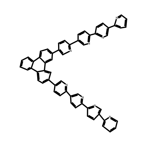 c1ccc(-c2ccc(-c3ccc(-c4ccc(-c5ccc6c7ccccc7c7ccc(-c8ccc(-c9ccc(-c%10ccc(-c%11ccccn%11)cn%10)nc9)nc8)cc7c6c5)cn4)cn3)nc2)nc1